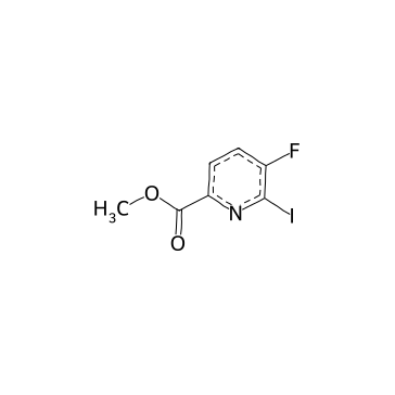 COC(=O)c1ccc(F)c(I)n1